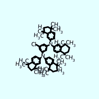 CC1(C)CCC(C)(C)c2cc(N(c3cc(Cl)cc(N(c4ccc5c(c4)C(C)(C)CCC5(C)C)c4ccc5c(c4)C(C)(C)CCC5(C)C)c3)c3ccc4c(c3)C(C)(C)CCC4(C)C)ccc21